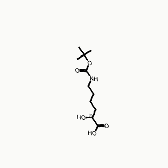 CC(C)(C)OC(=O)NCCCC[C@H](O)C(=O)O